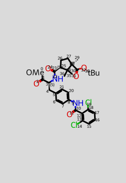 COC(=O)[C@H](Cc1ccc(NC(=O)c2c(Cl)cccc2Cl)cc1)NC(=O)[C@H]1CC[C@@](C)(C(=O)OC(C)(C)C)C1(C)C